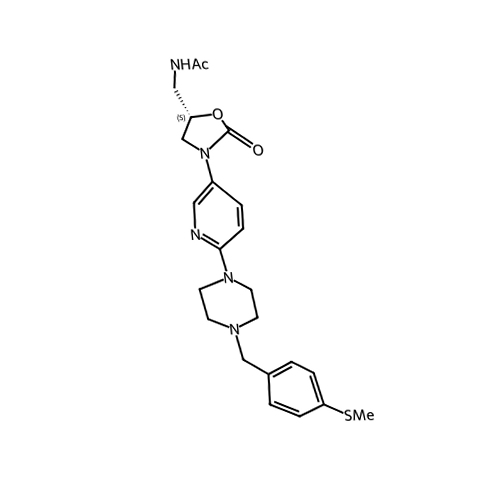 CSc1ccc(CN2CCN(c3ccc(N4C[C@H](CNC(C)=O)OC4=O)cn3)CC2)cc1